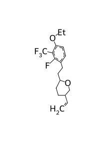 C=CC1CCC(CCc2ccc(OCC)c(C(F)(F)F)c2F)OC1